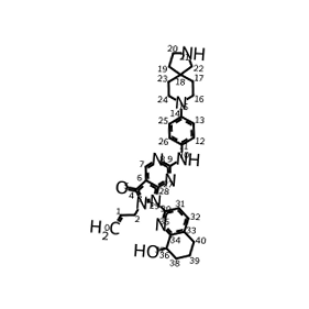 C=CCn1c(=O)c2cnc(Nc3ccc(N4CCC5(CCNC5)CC4)cc3)nc2n1-c1ccc2c(n1)C(O)CCC2